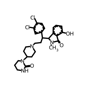 CN1C(=O)c2c(O)cccc2C1C(CCN1CCC(N2CCCNC2=O)CC1)c1ccc(Cl)c(Cl)c1